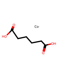 O=C(O)CCCCC(=O)O.[Co]